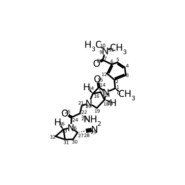 C[C@H](c1cccc(C(=O)N(C)C)c1)N1C(=O)[C@@H]2C[C@H]1CN2C[C@H](N)C(=O)N1[C@H](C#N)CC2C[C@@H]21